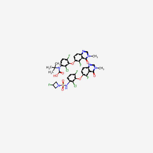 Cn1cnc2ccc(Oc3c(F)ccc(N(C(=O)O)C(C)(C)C)c3Cl)c(F)c2c1=O.Cn1cnc2ccc(Oc3c(F)ccc(NS(=O)(=O)N4CC(F)C4)c3Cl)c(F)c2c1=O